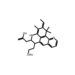 C=C(O)CC1NC2=C(C)/C(=C\C)C(C)(C)c3c2c(cc2cccnc32)C1CCOC